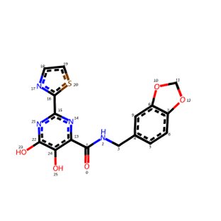 O=C(NCc1ccc2c(c1)OCO2)c1nc(-c2nccs2)nc(O)c1O